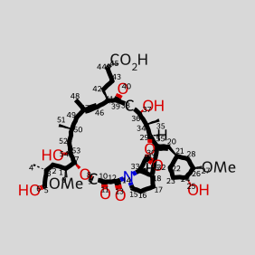 CO[C@@H](C[C@@H](C)CO)[C@@H]1OCC(=O)C(=O)N2CCCC3/C(=C\[C@@H]4CC[C@@H](O)[C@H](OC)C4)[C@@H](OC(=O)[C@H]32)[C@H](C)[C@@H](O)CC(=O)[C@H](CCCC(=O)O)/C=C(\C)C[C@H](C)C[C@@H]1O